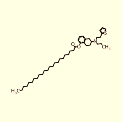 CCCCCCCCCCCCCCCCCCCCCCC(=O)Oc1cccc2c1CCC(N(CCC)CCc1cccs1)C2